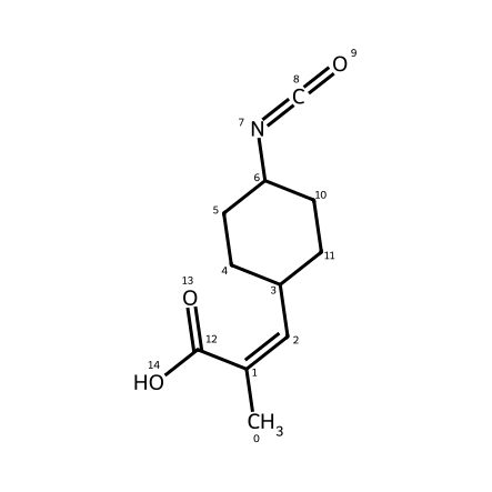 CC(=CC1CCC(N=C=O)CC1)C(=O)O